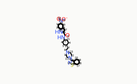 O=C(N[C@H]1CC[C@H](CCN2CCN(c3nsc4ccccc34)CC2)CC1)c1cc2cc([N+](=O)[O-])ccc2[nH]1